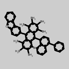 Bc1c(B)c(B)c2c(-c3ccc(-c4ccccc4)c4ccccc34)c3c(B)c(B)c(B)c(B)c3c(-c3ccc4oc5ccccc5c4c3)c2c1B